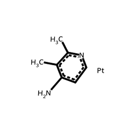 Cc1nccc(N)c1C.[Pt]